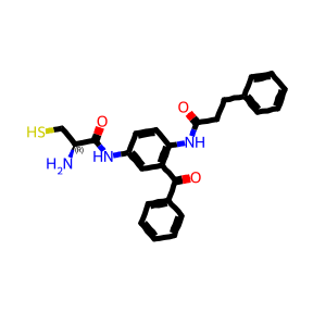 N[C@@H](CS)C(=O)Nc1ccc(NC(=O)CCc2ccccc2)c(C(=O)c2ccccc2)c1